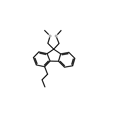 CCCc1cccc2c1-c1ccccc1C2(COC)COC